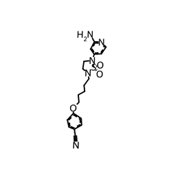 N#Cc1ccc(OCCCCCN2CCN(c3ccnc(N)c3)S2(=O)=O)cc1